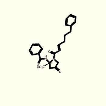 O=C1CN(C(=O)C=CCCCc2ccccc2)[C@](NC(=O)c2ccccc2)(C(=O)O)C1